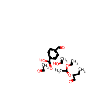 C=CO.C=COC(C)=O.CC=O.CCCC=O.O=Cc1ccc(C(=O)O)cc1